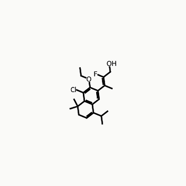 CCOc1c(C(C)=C(F)CO)cc2c(c1Cl)C(C)(C)CC=C2C(C)C